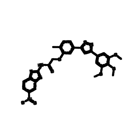 COc1cc(-c2cc(-c3ccc(C)c(OCC(=O)Nc4nc5ccc([N+](=O)[O-])cc5s4)c3)on2)cc(OC)c1OC